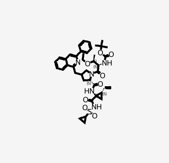 C=C[C@@H]1C[C@]1(NC(=O)[C@@H]1CC(Cc2nc(-c3ccccc3)cc3ccccc23)CN1C(=O)[C@@H](NC(=O)OC(C)(C)C)[C@H](C)OCC)C(=O)NS(=O)(=O)C1CC1